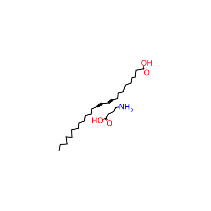 CCCCCCCCCCCCC#CC#CCCCCCCCCC(=O)O.NCCCC(=O)O